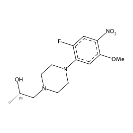 COc1cc(N2CCN(C[C@H](C)O)CC2)c(F)cc1[N+](=O)[O-]